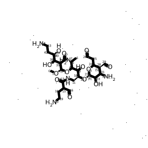 CO[C@H](OC(C(C)N)C(O)[C@H](CNC(=O)C(C=O)CCN)O[C@H]1OC(CC=O)[C@@H](C=O)C(N)C1O)C(C=O)C(O)[C@H](O)CCN